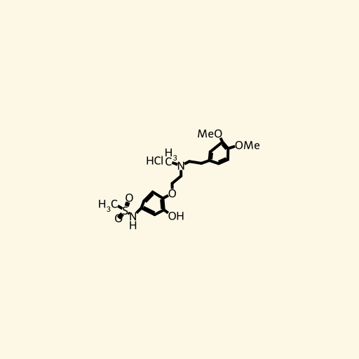 COc1ccc(CCN(C)CCOc2ccc(NS(C)(=O)=O)cc2O)cc1OC.Cl